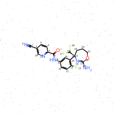 N#Cc1ccc(C(=O)Nc2ccc(F)c([C@]3(C(F)F)CCCOC(N)=N3)c2)nc1